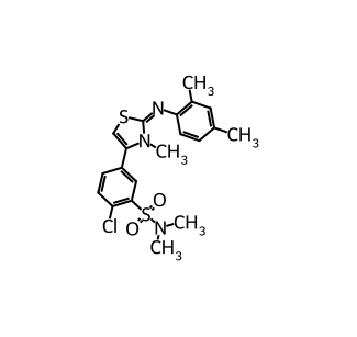 Cc1ccc(/N=c2/scc(-c3ccc(Cl)c(S(=O)(=O)N(C)C)c3)n2C)c(C)c1